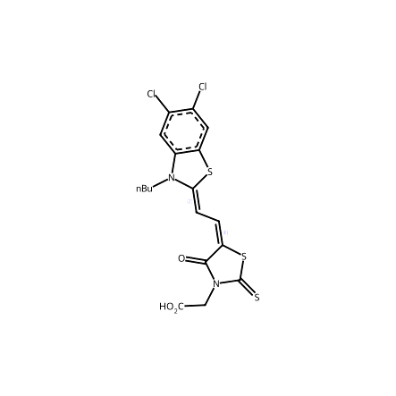 CCCCN1/C(=C/C=C2/SC(=S)N(CC(=O)O)C2=O)Sc2cc(Cl)c(Cl)cc21